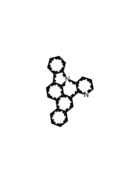 c1ccc2c(c1)cc1c3ncccc3n3c4ccccc4c4ccc2c1c43